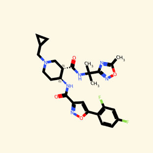 Cc1nc(C(C)(C)NC(=O)[C@H]2CN(CC3CC3)CC[C@@H]2NC(=O)c2cc(-c3ccc(F)cc3F)on2)no1